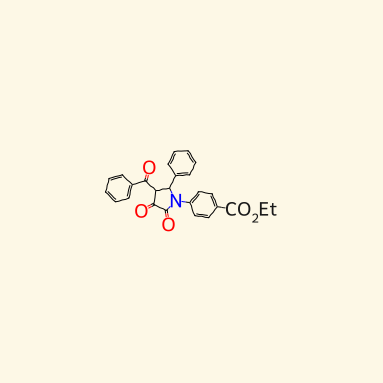 CCOC(=O)c1ccc(N2C(=O)C(=O)C(C(=O)c3ccccc3)C2c2ccccc2)cc1